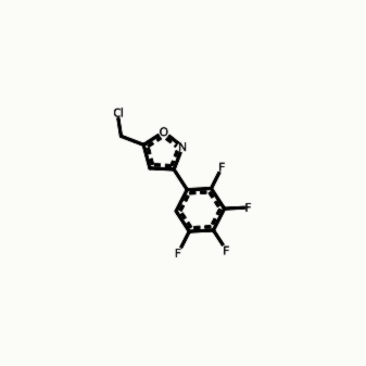 Fc1cc(-c2cc(CCl)on2)c(F)c(F)c1F